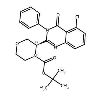 CC(C)(C)OC(=O)N1CCOC[C@H]1c1nc2cccc(Cl)c2c(=O)n1-c1ccccc1